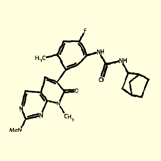 CNc1ncc2cc(-c3cc(NC(=O)NC4CC5CCC4C5)c(F)cc3C)c(=O)n(C)c2n1